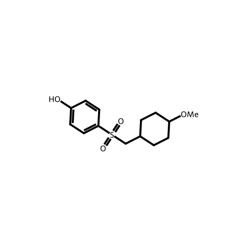 COC1CCC(CS(=O)(=O)c2ccc(O)cc2)CC1